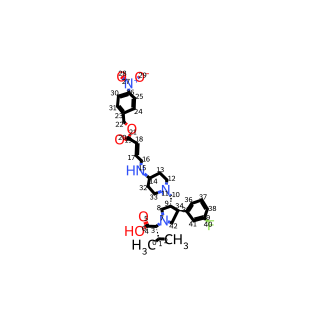 CC(C)[C@H](C(=O)O)N1C[C@H](CN2CCC(NCC=CC(=O)OCc3ccc([N+](=O)[O-])cc3)CC2)[C@@H](c2cccc(F)c2)C1